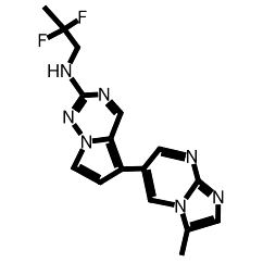 Cc1cnc2ncc(-c3ccn4nc(NCC(C)(F)F)ncc34)cn12